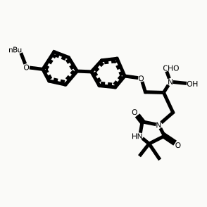 CCCCOc1ccc(-c2ccc(OCC(CN3C(=O)NC(C)(C)C3=O)N(O)C=O)cc2)cc1